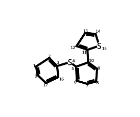 c1ccc(Sc2ccccc2-c2cccs2)cc1